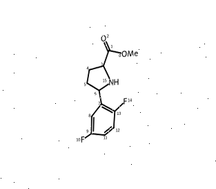 COC(=O)C1CCC(c2cc(F)ccc2F)N1